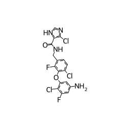 Nc1cc(F)c(Cl)c(Oc2c(Cl)ccc(CNC(=O)c3[nH]cnc3Cl)c2F)c1